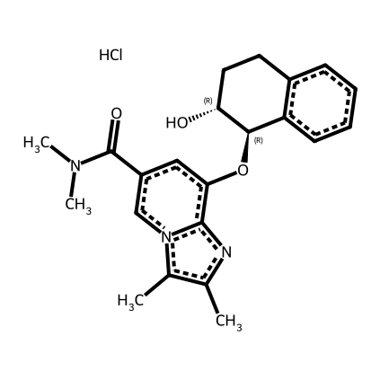 Cc1nc2c(O[C@@H]3c4ccccc4CC[C@H]3O)cc(C(=O)N(C)C)cn2c1C.Cl